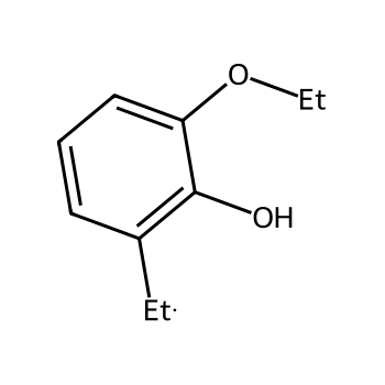 C[CH]c1cccc(OCC)c1O